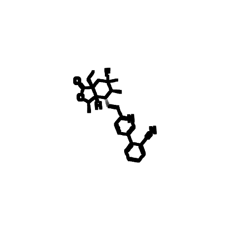 CC[C@@]12CC(C)(F)[C@@H](C)[C@H](/C=C/c3ccc(-c4ccccc4C#N)cn3)[C@@H]1[C@@H](C)OC2=O